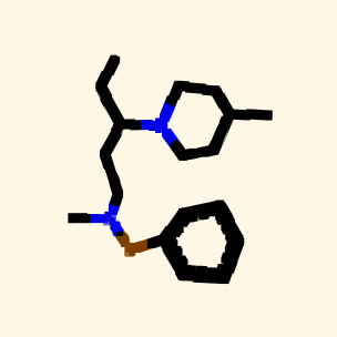 CCC(CCN(C)Sc1ccccc1)N1CCC(C)CC1